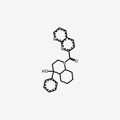 O=C(c1ccc2cccnc2n1)N1CCC(O)(c2ccccc2)C2CCCCC21